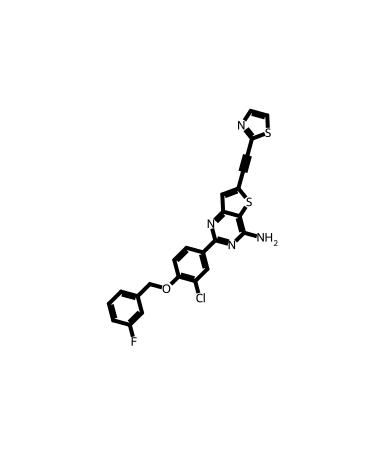 Nc1nc(-c2ccc(OCc3cccc(F)c3)c(Cl)c2)nc2cc(C#Cc3nccs3)sc12